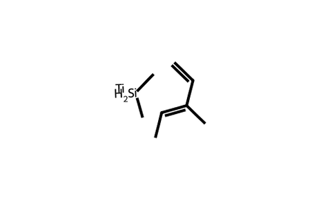 C=CC(C)=CC.C[SiH2]C.[Ti]